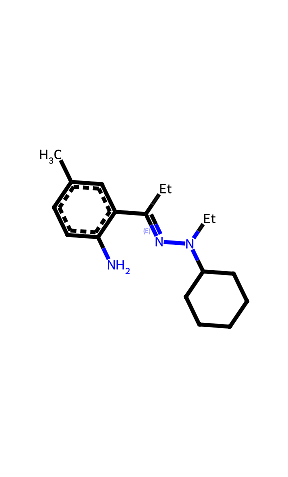 CC/C(=N\N(CC)C1CCCCC1)c1cc(C)ccc1N